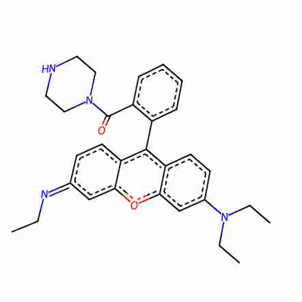 CC/N=c1/ccc2c(-c3ccccc3C(=O)N3CCNCC3)c3ccc(N(CC)CC)cc3oc-2c1